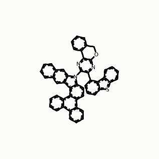 c1ccc2c(c1)COc1nc(-c3cccc4sc5ccccc5c34)c(-n3c4cc5ccccc5cc4c4c5c6ccccc6c6ccccc6c5ccc43)nc1-2